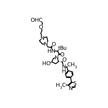 Cc1ncsc1-c1ccc(C(C)NC(=O)[C@@H]2C[C@@H](O)CN2C(=O)C(NC(=O)CN2CCN(CCOCC=O)CC2)C(C)(C)C)cc1